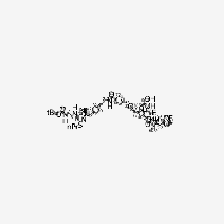 CCCSc1nc(NCCNC(=O)OC(C)(C)C)c2nnn(Cc3ccc(C#CCNC(=O)C4CCN(CCOCC(C)(C)c5cc6cc(NC(=O)C7(c8ccc9c(c8)OC(F)(F)O9)CC7)c(F)cc6n5C[C@@H](O)CO)CC4)cc3)c2n1